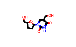 O=c1[nH]c(=O)n(C2CCC(CO)O2)cc1CO